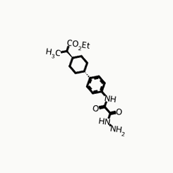 CCOC(=O)C(C)[C@H]1CC[C@H](c2ccc(NC(=O)C(=O)NN)cc2)CC1